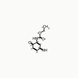 CCOC(=O)NC1=CC(=N)C=CC1=O